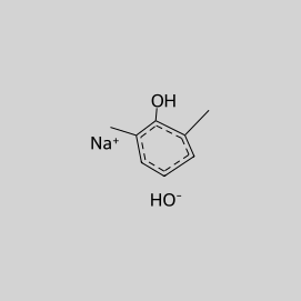 Cc1cccc(C)c1O.[Na+].[OH-]